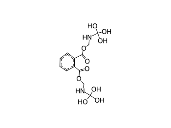 O=C(OCNC(O)(O)O)c1ccccc1C(=O)OCNC(O)(O)O